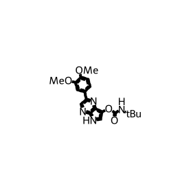 COc1ccc(-c2cnc3[nH]cc(OC(=O)NC(C)(C)C)c3n2)cc1OC